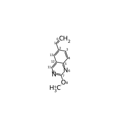 C=Cc1ccc2nc(OC)ncc2c1